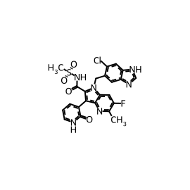 Cc1nc2c(-c3ccc[nH]c3=O)c(C(=O)NS(C)(=O)=O)n(Cc3cc4nc[nH]c4cc3Cl)c2cc1F